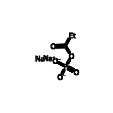 CCC(=O)OP(=O)([O-])[O-].[Na+].[Na+]